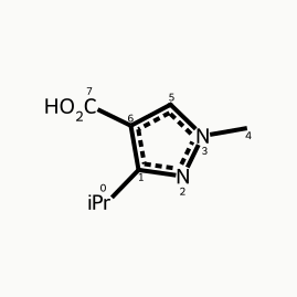 CC(C)c1nn(C)cc1C(=O)O